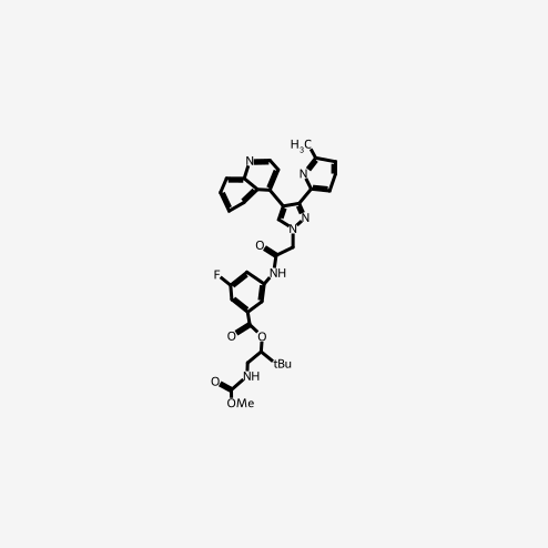 COC(=O)NCC(OC(=O)c1cc(F)cc(NC(=O)Cn2cc(-c3ccnc4ccccc34)c(-c3cccc(C)n3)n2)c1)C(C)(C)C